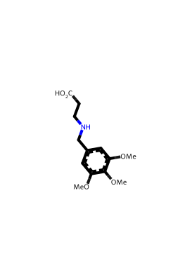 COc1cc(CNCCC(=O)O)cc(OC)c1OC